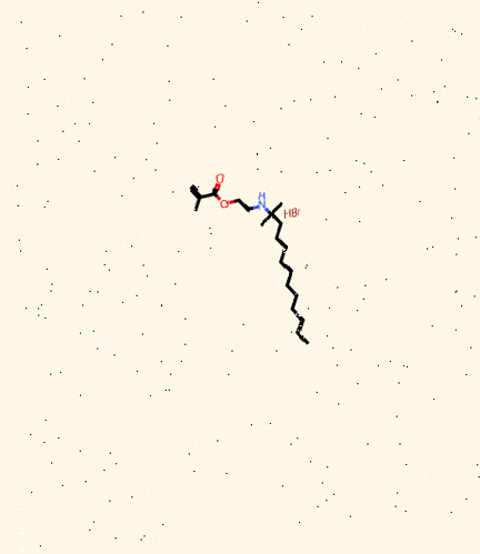 Br.C=C(C)C(=O)OCCNC(C)(C)CCCCCCCCCCC